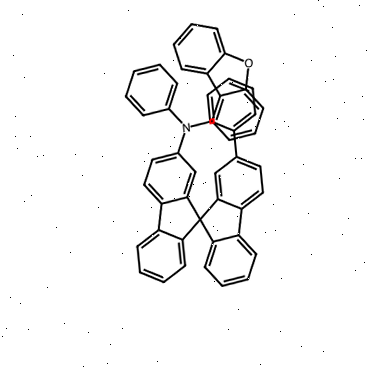 c1ccc(-c2ccc3c(c2)C2(c4ccccc4-3)c3ccccc3-c3ccc(N(c4ccccc4)c4cccc5oc6ccccc6c45)cc32)cc1